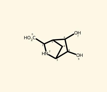 O=C(O)C1NC2CC1C(O)C2O